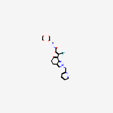 O=C(NC[C@@H]1COCCO1)c1oc2c(c1C(F)(F)F)-c1nn(Cc3ccccn3)cc1CC2